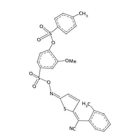 COc1cc(S(=O)(=O)ON=C2C=CC(=C(C#N)c3ccccc3C)S2)ccc1OS(=O)(=O)c1ccc(C)cc1